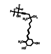 C=C1C(=CC=CCCCC(C)(C)CC#CC(O)(C(F)(F)F)C(F)(F)F)C[C@@H](O)C[C@@H]1O